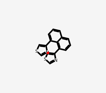 c1cc(-c2cscn2)c2c(-c3cscn3)cccc2c1